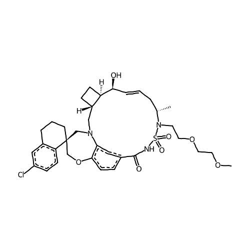 COCCOCCN1[C@@H](C)C/C=C/[C@H](O)[C@@H]2CC[C@H]2CN2C[C@@]3(CCCc4cc(Cl)ccc43)COc3ccc(cc32)C(=O)NS1(=O)=O